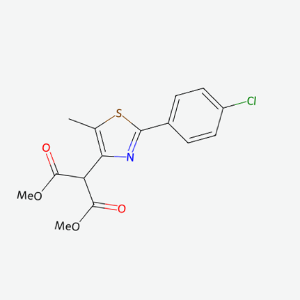 COC(=O)C(C(=O)OC)c1nc(-c2ccc(Cl)cc2)sc1C